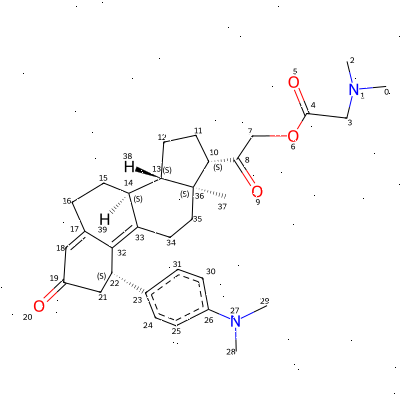 CN(C)CC(=O)OCC(=O)[C@H]1CC[C@H]2[C@@H]3CCC4=CC(=O)C[C@@H](c5ccc(N(C)C)cc5)C4=C3CC[C@]12C